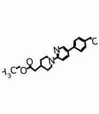 CCOC(=O)CC1CCN(c2ccc(-c3ccc(C=O)cc3)cn2)CC1